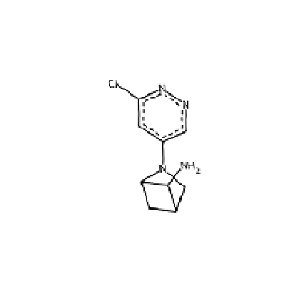 NC1C2CC1N(c1cnnc(Cl)c1)C2